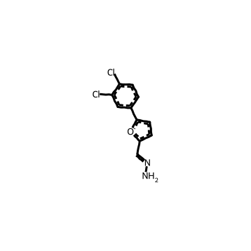 N/N=C/c1ccc(-c2ccc(Cl)c(Cl)c2)o1